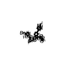 Cc1ncc(-c2ccc3c(c2)c(C(=O)NS(C)(=O)=O)nn3CC(=O)N2C[C@H](F)C[C@H]2C(=O)Nc2cccc(Br)n2)cn1